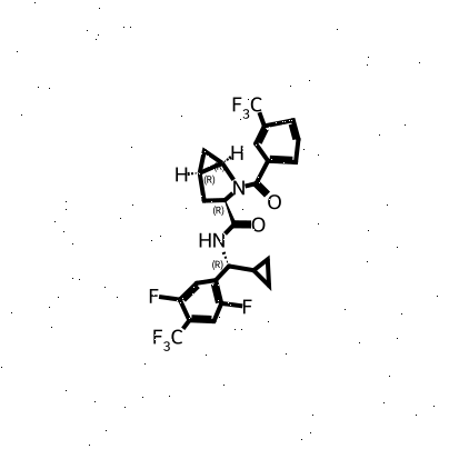 O=C(N[C@@H](c1cc(F)c(C(F)(F)F)cc1F)C1CC1)[C@H]1C[C@H]2C[C@H]2N1C(=O)c1cccc(C(F)(F)F)c1